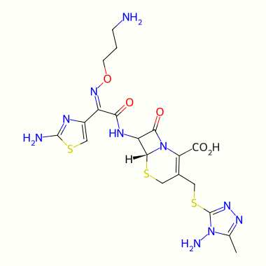 Cc1nnc(SCC2=C(C(=O)O)N3C(=O)C(NC(=O)/C(=N\OCCCN)c4csc(N)n4)[C@H]3SC2)n1N